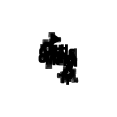 C[C@@H]1CN(c2ncc(Cl)c(Nc3cnc4c(c3)c3c(c(=O)n4C)OCCC(C4CC4)N3)n2)C[C@H](C)C1(F)F